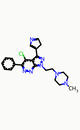 CN1CCN(CCn2nc(C3=CN=CC3)c3c(Cl)c(-c4ccccc4)nnc32)CC1